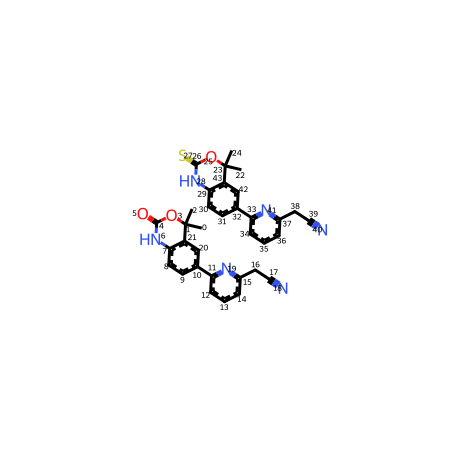 CC1(C)OC(=O)Nc2ccc(-c3cccc(CC#N)n3)cc21.CC1(C)OC(=S)Nc2ccc(-c3cccc(CC#N)n3)cc21